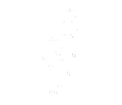 CC(C)(C)OC(=O)CN(CCNCCN(CC(=O)OC(C)(C)C)CC(=O)OC(C)(C)C)CC(=O)OC(C)(C)C